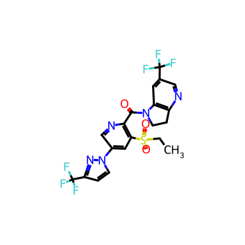 CCS(=O)(=O)c1cc(-n2ccc(C(F)(F)F)n2)cnc1C(=O)N1CCc2ncc(C(F)(F)F)cc21